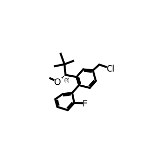 CO[C@@H](c1cc(CCl)ccc1-c1ccccc1F)C(C)(C)C